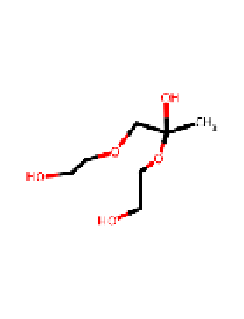 CC(O)(COCCO)OCCO